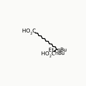 CCCCC(CCCCCCCCCCCCC(=O)O)C(CC)(CCCC)C(=O)O